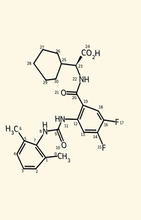 Cc1cccc(C)c1NC(=O)Nc1cc(F)c(F)cc1C(=O)N[C@H](C(=O)O)C1CCCCC1